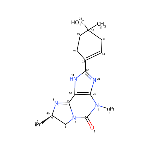 CCCN1C(=O)N2C[C@@H](C(C)C)N=C2c2[nH]c(C3=CCC(C)(C(=O)O)CC3)nc21